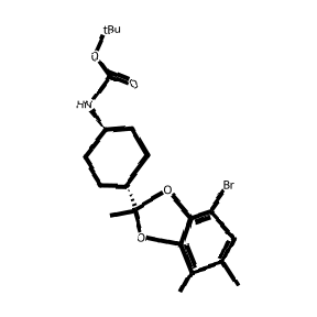 Cc1cc(Br)c2c(c1C)OC(C)([C@H]1CC[C@H](NC(=O)OC(C)(C)C)CC1)O2